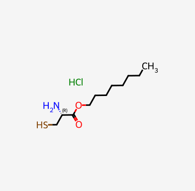 CCCCCCCCOC(=O)[C@@H](N)CS.Cl